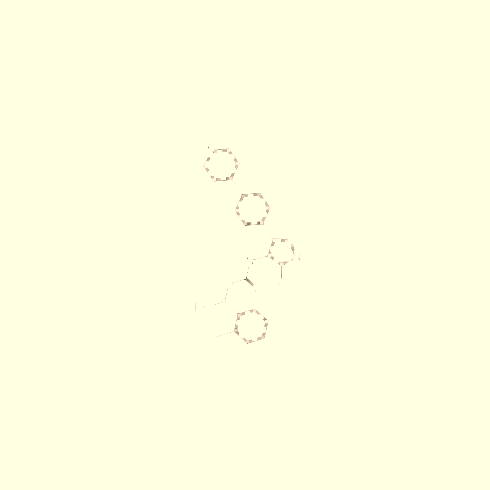 Cc1noc(-c2ccc(-c3ccncc3)cc2)c1NC(=O)OC(C)c1ccccc1Cl